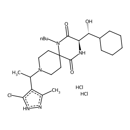 CCCCN1C(=O)[C@@H]([C@H](O)C2CCCCC2)NC(=O)C12CCN(C(C)c1c(C)n[nH]c1Cl)CC2.Cl.Cl